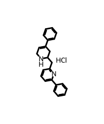 C1=C(c2ccccc2)CC(Cc2cccc(-c3ccccc3)n2)NC1.Cl